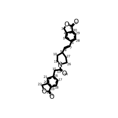 O=C1OCc2cc(C=CC3CCN(C(=O)Cc4ccc5c(c4)COC5=O)CC3)ccc21